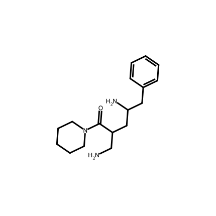 NCC(CC(N)Cc1ccccc1)C(=O)N1CCCCC1